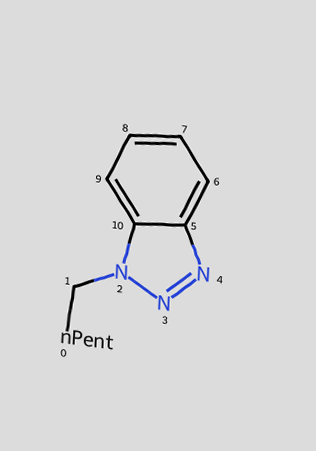 CCCCCCn1nnc2ccccc21